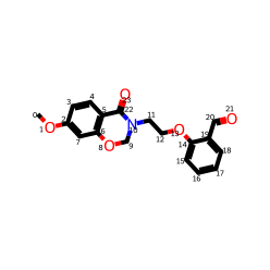 COc1ccc2c(c1)OCN(CCOc1ccccc1C=O)C2=O